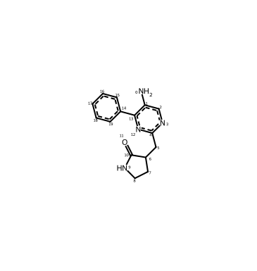 Nc1cnc(CC2CCNC2=O)nc1-c1ccccc1